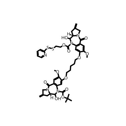 C=C1C[C@H]2C(O)N(C(=O)OCCSSc3ccccn3)c3cc(OCCCCCOc4cc5c(cc4OC)C(=O)N4CC(=C)C[C@H]4C(O)N5C(=O)OC(C)(C)C)c(OC)cc3C(=O)N2C1